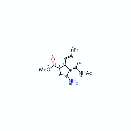 CCCC=CC1C(C(=O)OC)CC(N)C1C(C)NC(C)=O